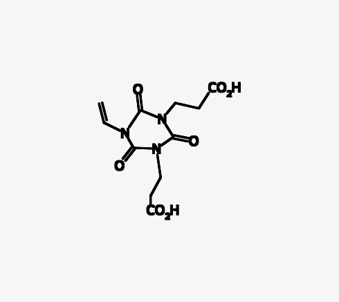 C=Cn1c(=O)n(CCC(=O)O)c(=O)n(CCC(=O)O)c1=O